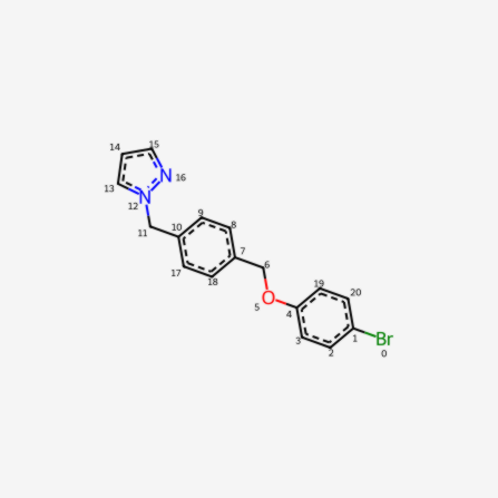 Brc1ccc(OCc2ccc(Cn3cccn3)cc2)cc1